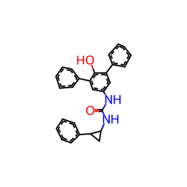 O=C(Nc1cc(-c2ccccc2)c(O)c(-c2ccccc2)c1)NC1CC1c1ccccc1